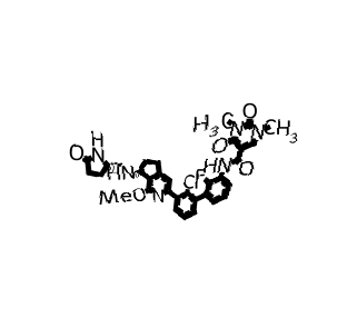 COc1nc(-c2cccc(-c3cccc(NC(=O)c4cn(C)c(=O)n(C)c4=O)c3F)c2Cl)cc2c1[C@H](NC[C@@H]1CCC(=O)N1)CC2